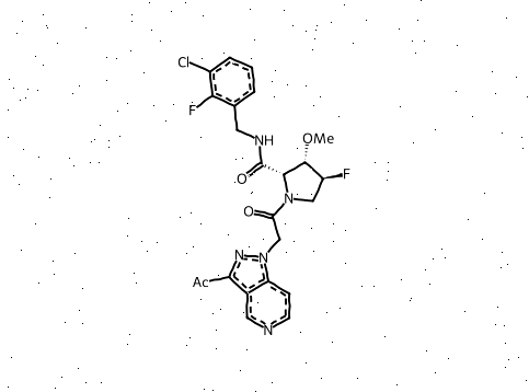 CO[C@H]1[C@@H](C(=O)NCc2cccc(Cl)c2F)N(C(=O)Cn2nc(C(C)=O)c3cnccc32)C[C@@H]1F